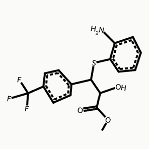 COC(=O)C(O)C(Sc1ccccc1N)c1ccc(C(F)(F)F)cc1